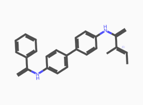 C=C(Nc1ccc(-c2ccc(NC(=C)c3ccccc3)cc2)cc1)/C(C)=C/C